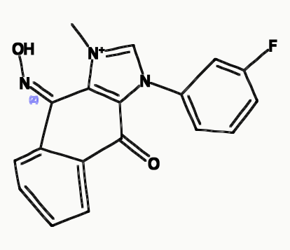 C[n+]1cn(-c2cccc(F)c2)c2c1/C(=N\O)c1ccccc1C2=O